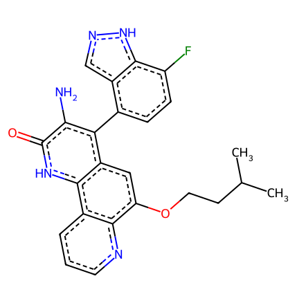 CC(C)CCOc1cc2c(-c3ccc(F)c4[nH]ncc34)c(N)c(=O)[nH]c2c2cccnc12